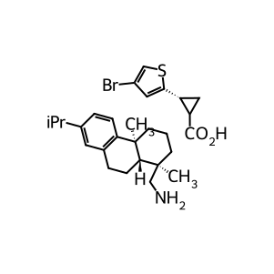 CC(C)c1ccc2c(c1)CC[C@H]1[C@](C)(CN)CCC[C@]21C.O=C(O)C1C[C@H]1c1cc(Br)cs1